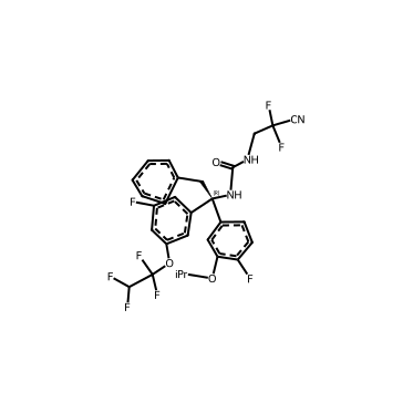 CC(C)Oc1cc([C@@](Cc2ccccc2)(NC(=O)NCC(F)(F)C#N)c2cc(F)cc(OC(F)(F)C(F)F)c2)ccc1F